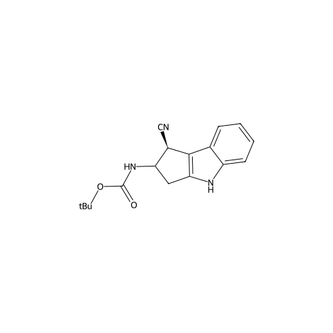 CC(C)(C)OC(=O)NC1Cc2[nH]c3ccccc3c2[C@@H]1C#N